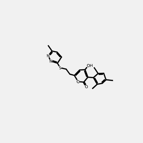 Cc1cc(C)c(-c2c(O)cc(CCSc3ccc(C)nn3)oc2=O)c(C)c1